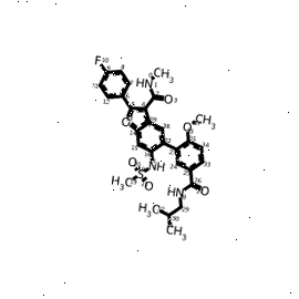 CNC(=O)c1c(-c2ccc(F)cc2)oc2cc(NS(C)(=O)=O)c(-c3cc(C(=O)NCC(C)C)ccc3OC)cc12